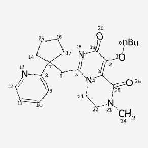 CCCCOc1c2n(c(CC3(c4ccccn4)CCCC3)nc1=O)CCN(C)C2=O